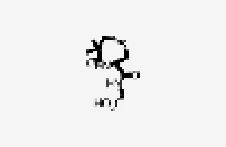 CC1(C)CSSCC(C(=O)NCC(=O)O)NC1=O